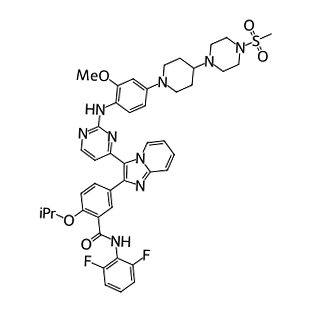 COc1cc(N2CCC(N3CCN(S(C)(=O)=O)CC3)CC2)ccc1Nc1nccc(-c2c(-c3ccc(OC(C)C)c(C(=O)Nc4c(F)cccc4F)c3)nc3ccccn23)n1